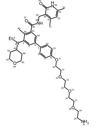 CCN(c1cc(-c2ccc(OCCOCCOCCOCCN)cc2)cc(C(=O)NCc2c(C)cc(C)[nH]c2=O)c1C)C1CCOCC1